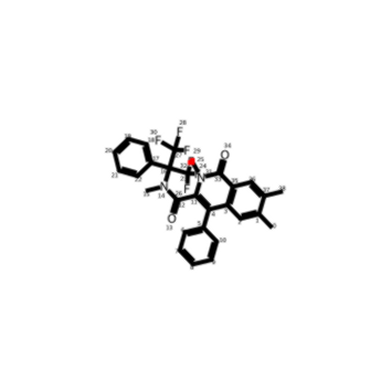 Cc1cc2c(-c3ccccc3)c(C(=O)N(C)C(c3ccccc3)(C(F)(F)F)C(F)(F)F)n(C)c(=O)c2cc1C